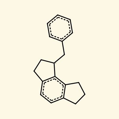 c1ccc(C[C]2CCc3ccc4c(c32)CCC4)cc1